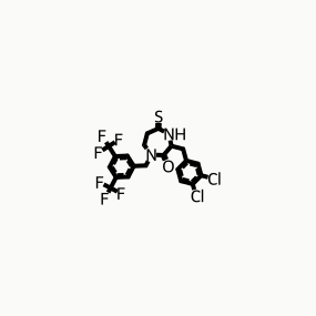 O=C1C(Cc2ccc(Cl)c(Cl)c2)NC(=S)CCN1Cc1cc(C(F)(F)F)cc(C(F)(F)F)c1